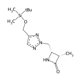 C[C@@H]1C(=O)N[C@@H]1Cn1ncc(CO[Si](C)(C)C(C)(C)C)n1